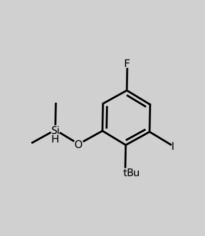 C[SiH](C)Oc1cc(F)cc(I)c1C(C)(C)C